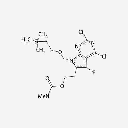 CNC(=O)OCCc1c(F)c2c(Cl)nc(Cl)nc2n1COCC[Si](C)(C)C